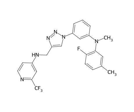 Cc1ccc(F)c(N(C)c2cccc(-n3cc(CNc4ccnc(C(F)(F)F)c4)nn3)c2)c1